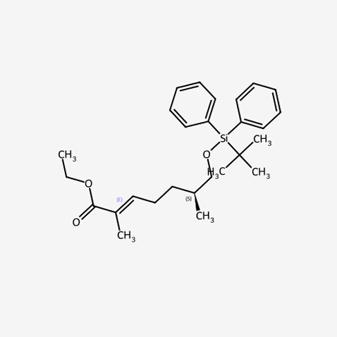 CCOC(=O)/C(C)=C/CC[C@H](C)CO[Si](c1ccccc1)(c1ccccc1)C(C)(C)C